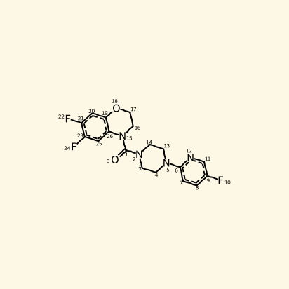 O=C(N1CCN(c2ccc(F)cn2)CC1)N1CCOc2cc(F)c(F)cc21